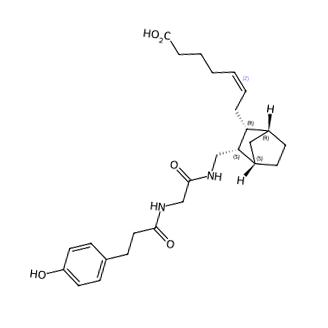 O=C(O)CCC/C=C\C[C@@H]1[C@@H]2CC[C@@H](C2)[C@@H]1CNC(=O)CNC(=O)CCc1ccc(O)cc1